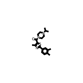 Cc1ccc(-c2nc(C)c(C(=O)N3CCN(C(C)C)CC3)s2)cc1C